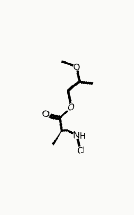 COC(C)COC(=O)[C@H](C)NCl